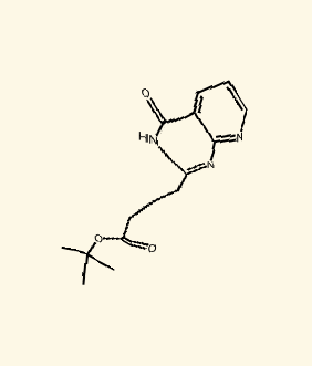 CC(C)(C)OC(=O)CCc1nc2ncccc2c(=O)[nH]1